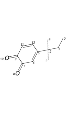 CCC(C)(C)C1=CC(=O)C(=O)C=C1